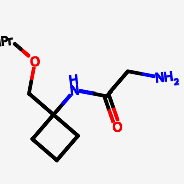 CC(C)OCC1(NC(=O)CN)CCC1